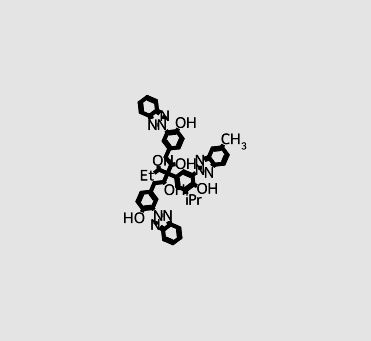 CCC(O)C(c1cc(C(C)C)c(O)c(-n2nc3ccc(C)cc3n2)c1)(C(O)Cc1ccc(O)c(-n2nc3ccccc3n2)c1)C(O)Cc1ccc(O)c(-n2nc3ccccc3n2)c1